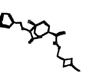 CN1CC(CONC(=O)[C@@H]2CC[C@@H]3CN2C(=O)N3OCc2ccccc2)C1